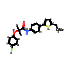 COCc1ccc(-c2ccc(NC(=O)C(C)(C)Oc3ccc(F)cc3)cc2)s1